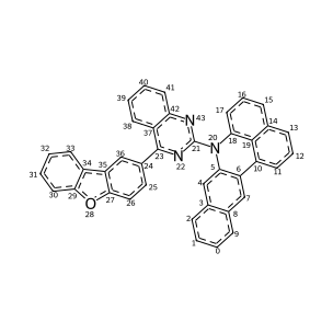 c1ccc2cc3c(cc2c1)-c1cccc2cccc(c12)N3c1nc(-c2ccc3oc4ccccc4c3c2)c2ccccc2n1